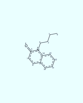 CCCCn1c(=O)ccc2ccccc21